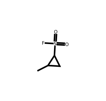 CC1CC1S(=O)(=O)F